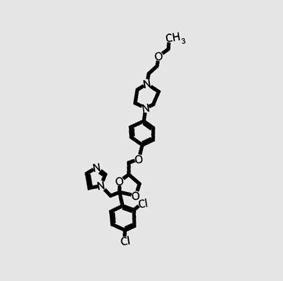 CCOCCN1CCN(c2ccc(OCC3COC(Cn4ccnc4)(c4ccc(Cl)cc4Cl)O3)cc2)CC1